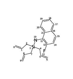 C=CC[Si](CC=C)(CC=C)[N]c1c(F)ccc2ccccc12